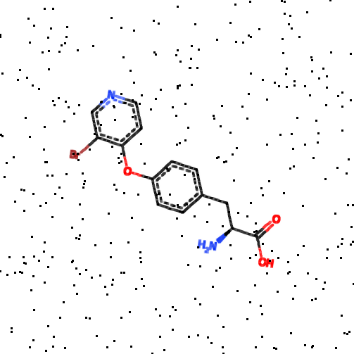 N[C@@H](Cc1ccc(Oc2ccncc2Br)cc1)C(=O)O